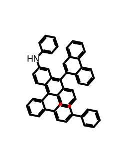 c1ccc(Nc2ccc3c(-c4ccccc4-c4ccc(-c5ccccc5)cc4)c4ccccc4c(-c4cc5ccccc5c5ccccc45)c3c2)cc1